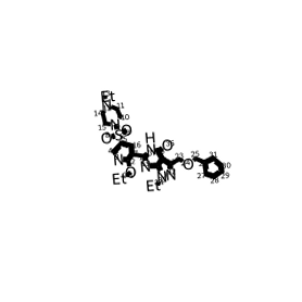 CCOc1ncc(S(=O)(=O)N2CCN(CC)CC2)cc1-c1nc2c(c(COCc3ccccc3)nn2CC)c(=O)[nH]1